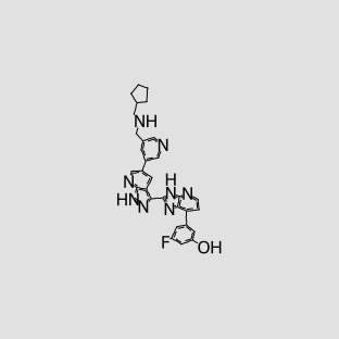 Oc1cc(F)cc(-c2ccnc3[nH]c(-c4n[nH]c5ncc(-c6cncc(CNCC7CCCC7)c6)cc45)nc23)c1